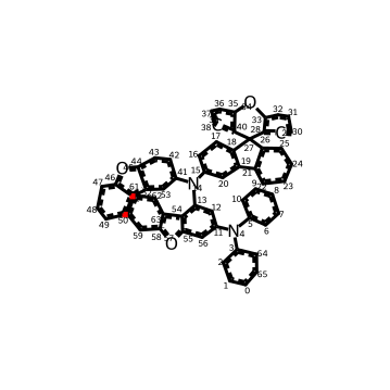 c1ccc(N(c2ccccc2)c2cc(N(c3ccc4c(c3)-c3ccccc3C43c4ccccc4Oc4ccccc43)c3ccc4oc5ccccc5c4c3)c3c(c2)oc2ccccc23)cc1